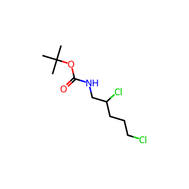 CC(C)(C)OC(=O)NCC(Cl)CCCCl